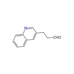 O=CCCc1cnc2ccccc2c1